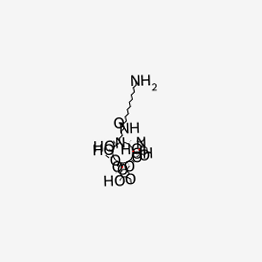 CC[C@H]1OC(=O)[C@H](C)[C@@H](O[C@H]2C[C@@](C)(OC)[C@@H](O)[C@H](C)O2)[C@H](C)[C@@H](O[C@@H]2O[C@H](C)C[C@H](N(C)C)[C@H]2O)[C@](C)(O)C[C@@H](C)CN(CCCNC(=O)CCCCCCCCCCCN)[C@H](C)[C@@H](O)[C@]1(C)O